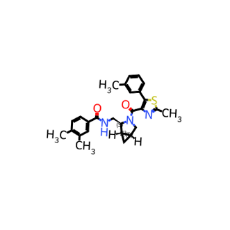 Cc1cccc(-c2sc(C)nc2C(=O)N2C[C@@H]3C[C@@H]3[C@H]2CNC(=O)c2ccc(C)c(C)c2)c1